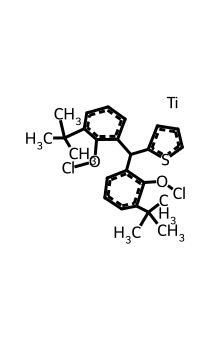 CC(C)(C)c1cccc(C(c2cccs2)c2cccc(C(C)(C)C)c2OCl)c1OCl.[Ti]